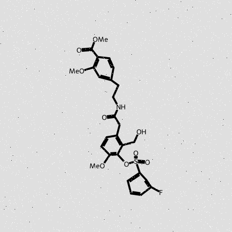 COC(=O)c1ccc(CCNC(=O)Cc2ccc(OC)c(OS(=O)(=O)c3cccc(F)c3)c2CO)cc1OC